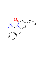 Cc1cc(Cc2ccccc2)n(CN)c(=O)c1